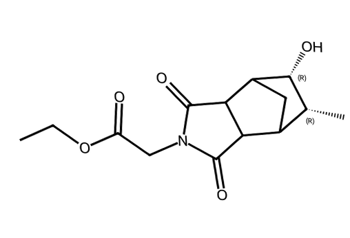 CCOC(=O)CN1C(=O)C2C(C1=O)C1CC2[C@@H](C)[C@H]1O